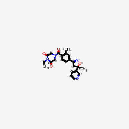 Cc1cc(C2=NOC(C)(c3cccnc3)C2)ccc1C(=O)N1CC(=O)N(CC(F)(F)F)C(=O)C1